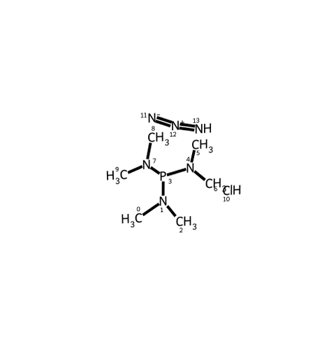 CN(C)P(N(C)C)N(C)C.Cl.[N-]=[N+]=N